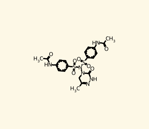 CC(=O)Nc1ccc(S(=O)(=O)N(N2CC(C)=NNC2=O)S(=O)(=O)c2ccc(NC(C)=O)cc2)cc1